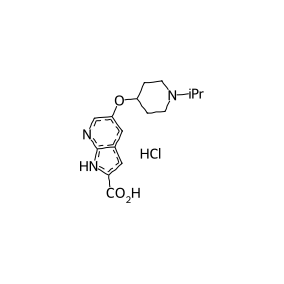 CC(C)N1CCC(Oc2cnc3[nH]c(C(=O)O)cc3c2)CC1.Cl